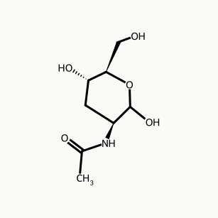 CC(=O)N[C@H]1C[C@H](O)[C@@H](CO)OC1O